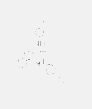 CCCC(N)(CC)c1ccc(N=Nc2c(O)c(C(=O)Nc3ccc(OC)cc3C)cc3ccccc23)cc1